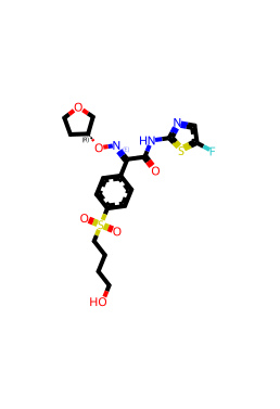 O=C(Nc1ncc(F)s1)/C(=N/O[C@@H]1CCOC1)c1ccc(S(=O)(=O)CCCCO)cc1